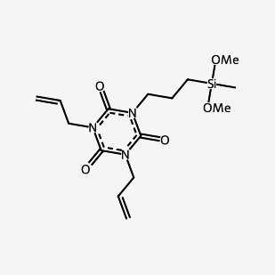 C=CCn1c(=O)n(CC=C)c(=O)n(CCC[Si](C)(OC)OC)c1=O